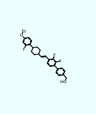 CCOc1ccc(C2CCC(/C=C/c3ccc(-c4ccc(CO)cc4)c(F)c3F)CC2)c(F)c1